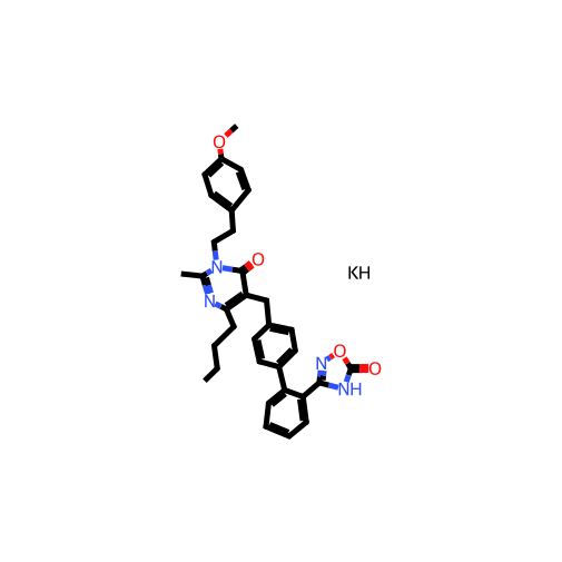 CCCCc1nc(C)n(CCc2ccc(OC)cc2)c(=O)c1Cc1ccc(-c2ccccc2-c2noc(=O)[nH]2)cc1.[KH]